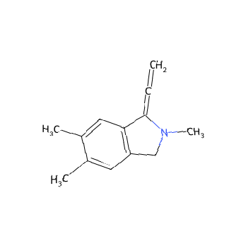 C=C=C1c2cc(C)c(C)cc2CN1C